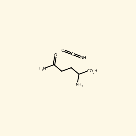 N=C=O.NC(=O)CCC(N)C(=O)O